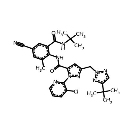 Cc1cc(C#N)cc(C(=O)NC(C)(C)C)c1NC(=O)c1cc(Cn2ncc(C(C)(C)C)n2)nn1-c1ncccc1Cl